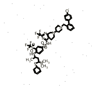 CC(CC(Sc1ccccc1)N(C)C)Nc1ccc(S(=O)(=O)Nc2nc(C(F)(F)F)nc3c2CCN(C2CCN(Cc4ccccc4-c4ccc(Cl)cc4)CC2)C3)cc1S(=O)(=O)C(F)(F)F